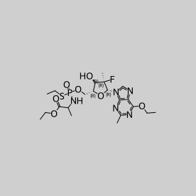 CCOC(=O)C(C)NP(=O)(OC[C@H]1O[C@@H](n2cnc3c(OCC)nc(C)nc32)[C@](C)(F)[C@@H]1O)SCC